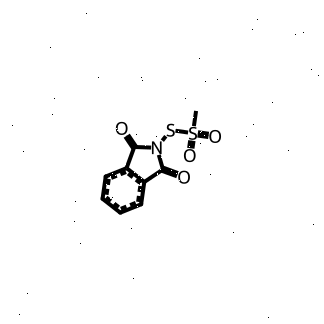 CS(=O)(=O)SN1C(=O)c2ccccc2C1=O